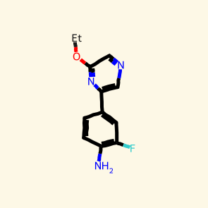 CCOc1cncc(-c2ccc(N)c(F)c2)n1